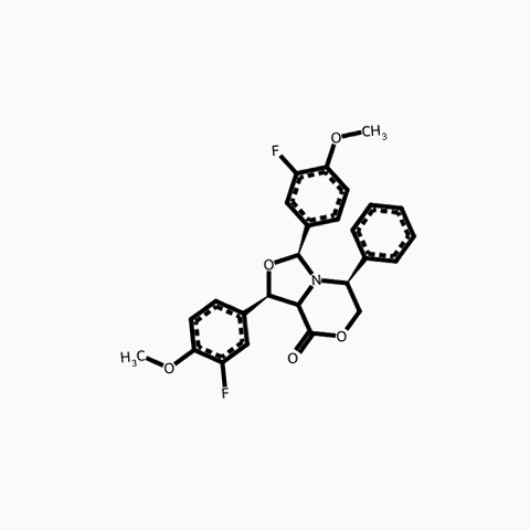 COc1ccc([C@H]2O[C@@H](c3ccc(OC)c(F)c3)N3C2C(=O)OC[C@@H]3c2ccccc2)cc1F